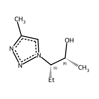 CC[C@@H]([C@@H](C)O)n1cc(C)nn1